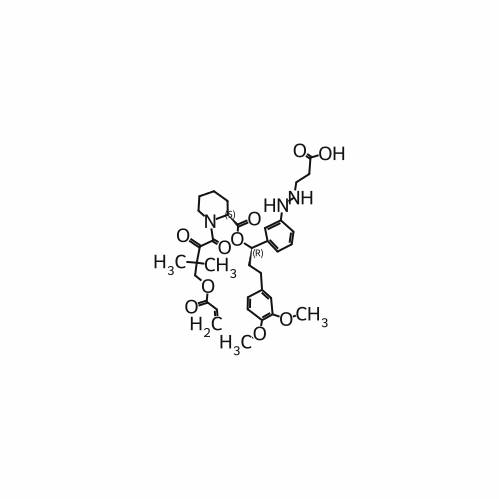 C=CC(=O)OCC(C)(C)C(=O)C(=O)N1CCCC[C@H]1C(=O)O[C@H](CCc1ccc(OC)c(OC)c1)c1cccc(NNCCC(=O)O)c1